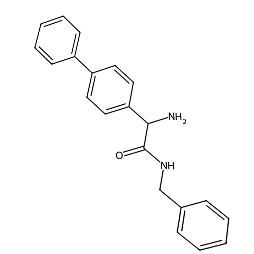 NC(C(=O)NCc1ccccc1)c1ccc(-c2ccccc2)cc1